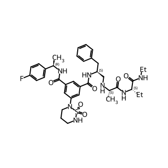 CCNC(=O)[C@H](CC)NC(=O)[C@H](C)NC[C@H](Cc1ccccc1)NC(=O)c1cc(C(=O)N[C@H](C)c2ccc(F)cc2)cc(N2CCCNS2(=O)=O)c1